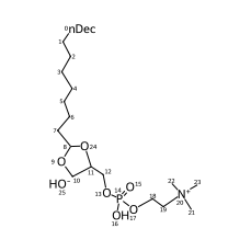 CCCCCCCCCCCCCCCCCC1OCC(COP(=O)(O)OCC[N+](C)(C)C)O1.[OH-]